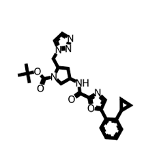 CC(C)(C)OC(=O)N1CC(NC(=O)c2ncc(-c3ccccc3C3CC3)o2)CC1Cn1ccnn1